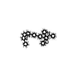 c1ccc(-c2ccc3ccc4ccc(-c5ccc(-c6ccc(-c7c8c(cc9c(-c%10ccccc%10)nc%10ccccc%10c79)oc7ccccc78)cc6)cc5)nc4c3n2)cc1